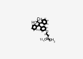 CC(O)/C(=C(\c1ccccc1)c1ccc(OCCN(C)C)cc1)c1ccccc1